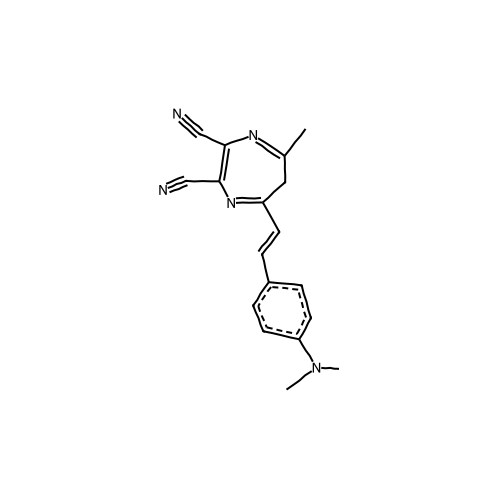 CC1=NC(C#N)=C(C#N)N=C(C=Cc2ccc(N(C)C)cc2)C1